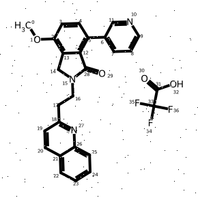 COc1ccc(-c2cccnc2)c2c1CN(CCc1ccc3ccccc3n1)C2=O.O=C(O)C(F)(F)F